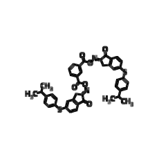 CC(C)c1ccc(Sc2ccc3c(c2)C/C(=N\OC(=O)c2cccc(C(=O)O/N=C4\Cc5cc(Sc6ccc(C(C)C)cc6)ccc5C4=O)c2)C3=O)cc1